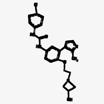 Cn1nccc1-c1cc(NC(=O)Nc2ccc(Cl)cc2)ccc1OCCN1CC(O)C1